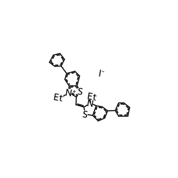 CCN1C(=Cc2sc3ccc(-c4ccccc4)cc3[n+]2CC)Sc2ccc(-c3ccccc3)cc21.[I-]